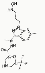 Cc1ccc2c([C@@H](C)NC(=O)[C@H]3CNC[C@@H](C(F)(F)F)O3)nn(CCCNO)c2n1